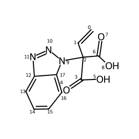 C=CC(C(=O)O)(C(=O)O)n1nnc2ccccc21